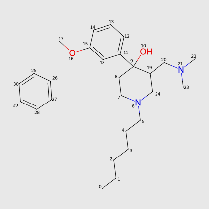 CCCCCCN1CCC(O)(c2cccc(OC)c2)C(CN(C)C)C1.c1ccccc1